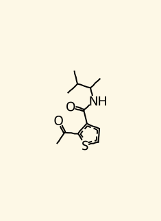 CC(=O)c1sccc1C(=O)NC(C)C(C)C